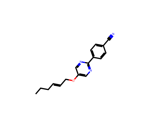 CCCC=CCOc1cnc(-c2ccc(C#N)cc2)nc1